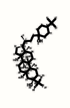 C[C@H](CCC1(O)CCC(C(C)(C)C)CC1)[C@H]1CC[C@H]2[C@@H]3CC[C@H]4C[C@](O)(C(F)(F)F)CC[C@]4(C)[C@H]3CC[C@]12C